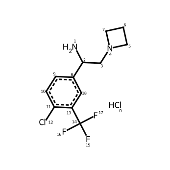 Cl.NC(CN1CCC1)c1ccc(Cl)c(C(F)(F)F)c1